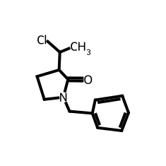 CC(Cl)C1CCN(Cc2ccccc2)C1=O